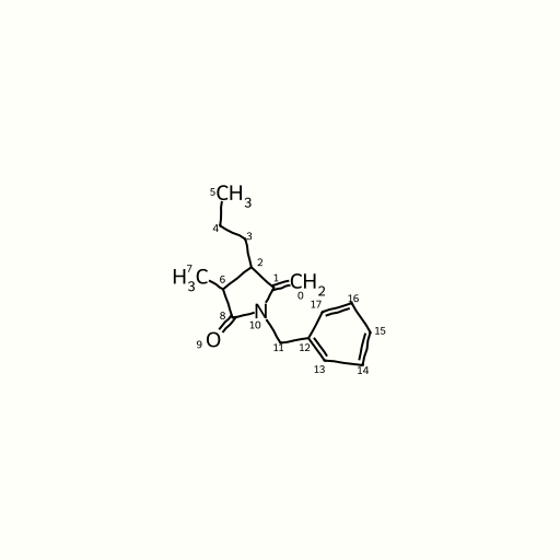 C=C1C(CCC)C(C)C(=O)N1Cc1ccccc1